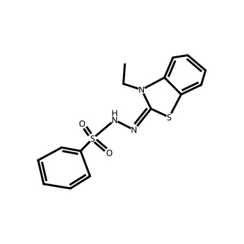 CCn1c(=NNS(=O)(=O)c2ccccc2)sc2ccccc21